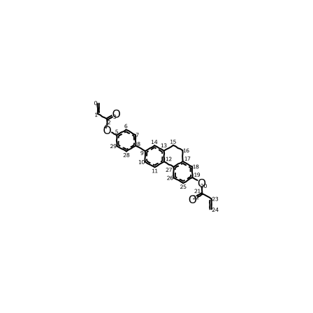 C=CC(=O)Oc1ccc(-c2ccc3c(c2)CCc2cc(OC(=O)C=C)ccc2-3)cc1